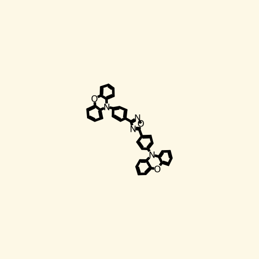 c1ccc2c(c1)Oc1ccccc1N2c1ccc(-c2noc(-c3ccc(N4c5ccccc5Oc5ccccc54)cc3)n2)cc1